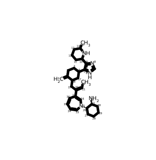 C=C1CCC(c2[nH]cnc2C2CCCC(C)N2)CC1C/C(=C\C)C1=CN([C@H]2CCCC[C@@H]2N)C=CC=C1